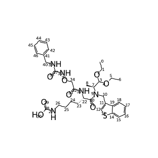 CCOC(OCC)[C@H](C)N(Cc1csc2ccccc12)C(=O)[C@H](CCCCNC(=O)O)NC(=O)CONC(=O)NCc1ccccc1